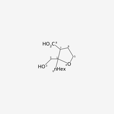 CCCCCCC1(CO)OCCC1C(=O)O